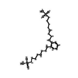 O=S(=O)(O)CCCCOCCOc1ccccc1OCCOCCCCS(=O)(=O)O